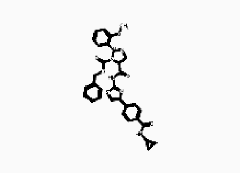 COc1ccccc1[C@H]1SCC(C(=O)Nc2nc(-c3ccc(C(=O)NC4CC4)cc3)cs2)N1C(=O)OCc1ccccc1